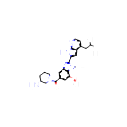 COc1cc(C(=O)N2CCC[C@@H](N)C2)cc2nc(-c3cc4c(CC(C)C)ccnc4[nH]3)n(C)c12